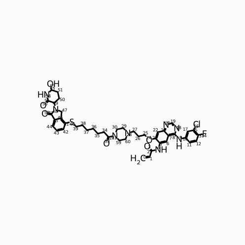 C=CC(=O)Nc1cc2c(Nc3ccc(F)c(Cl)c3)ncnc2cc1OCCCN1CCN(C(=O)CCCCCCSc2cccc3c2CN(C2CCC(O)NC2=O)C3=O)CC1